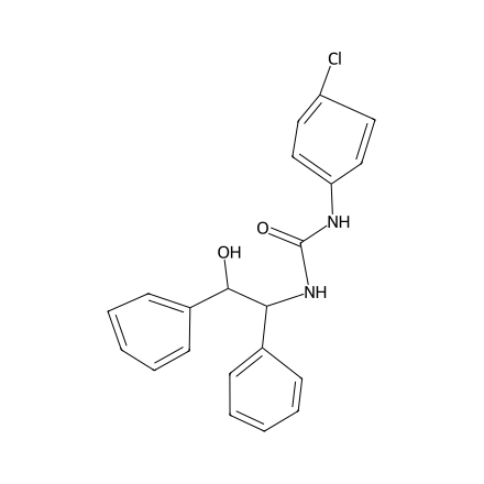 O=C(Nc1ccc(Cl)cc1)NC(c1ccccc1)C(O)c1ccccc1